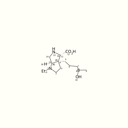 CCN1CC[C@]2(CCCB(C)O)[C@@H](C(=O)O)NC[C@H]12